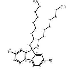 CCCCCCCCO[Si]1(OCCCCCCCC)c2cc(Br)ccc2-c2ccc(Br)cc21